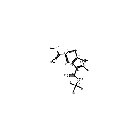 COC(=O)c1ccc2[nH]c(C)c(C(=O)OC(C)(C)C)c2c1